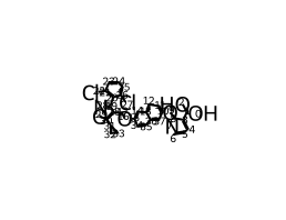 OC(O)c1cccnc1Oc1ccc2cc(OCc3c(-c4c(Cl)cccc4Cl)noc3C3CC3)ccc2c1